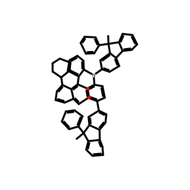 CC1(c2ccccc2)c2ccccc2-c2ccc(-c3ccc(N(c4ccc5c(c4)C(C)(c4ccccc4)c4ccccc4-5)c4ccccc4-c4cccc5cccc(C6CCCCC6)c45)cc3)cc21